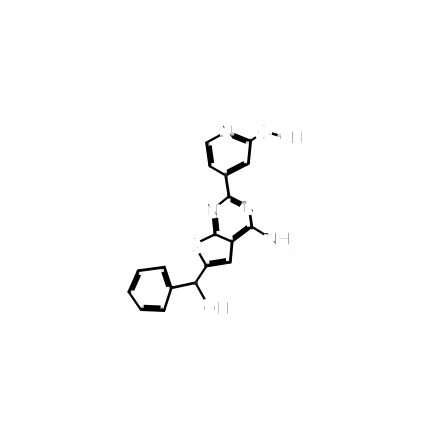 COc1cc(-c2nc(N)c3cc(C(O)c4ccccc4)sc3n2)ccn1